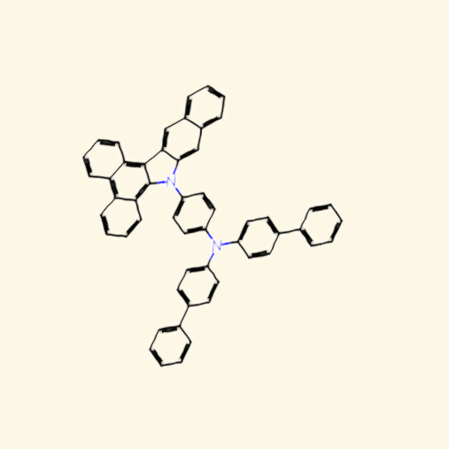 c1ccc(-c2ccc(N(c3ccc(-c4ccccc4)cc3)c3ccc(-n4c5cc6ccccc6cc5c5c6ccccc6c6ccccc6c54)cc3)cc2)cc1